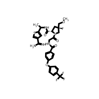 COC[C@@]1(F)C[C@@H](C(=O)NC(C)c2cc(C(=N)N)cs2)N(C(=O)CNC(=O)c2ccc(Oc3ccc(C(F)(F)F)cc3)cc2)C1